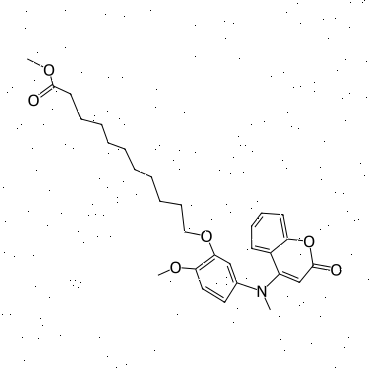 COC(=O)CCCCCCCCCCOc1cc(N(C)c2cc(=O)oc3ccccc23)ccc1OC